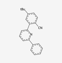 CC(C)(C)c1ccc(C#N)c(-c2cccc(-c3ccccc3)n2)c1